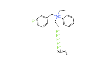 CC[N+](CC)(Cc1ccccc1)c1ccccc1.[F-].[F-].[F-].[F-].[F-].[F-].[SbH3]